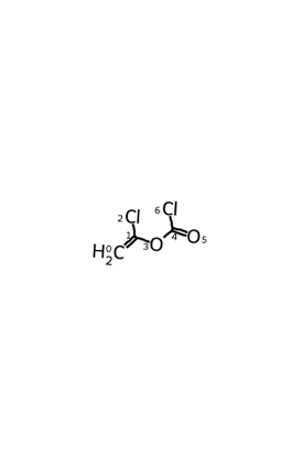 C=C(Cl)OC(=O)Cl